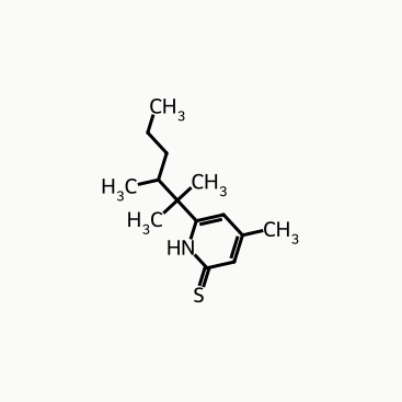 CCCC(C)C(C)(C)c1cc(C)cc(=S)[nH]1